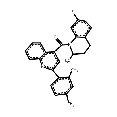 Cc1ccc(-c2cc(C(=O)N3c4cc(F)ccc4CCC3C)c3ccccc3n2)c(C)c1